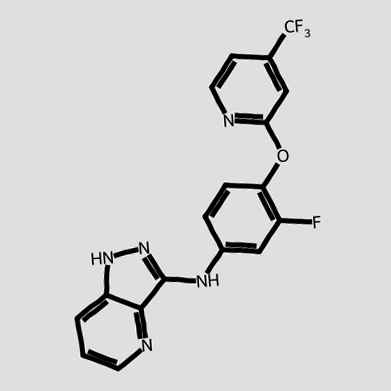 Fc1cc(Nc2n[nH]c3cccnc23)ccc1Oc1cc(C(F)(F)F)ccn1